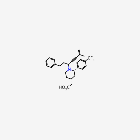 C=C(C)C#C[C@H](CCc1ccccc1)N1CC[C@@H](CC(=O)O)C[C@H]1c1ccc(C(F)(F)F)cc1